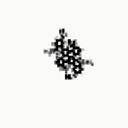 NC(=O)c1ccc(N)cc1-c1ccc(-c2ccc(-c3cc(N)ccc3C(N)=O)cc2-c2ccccc2C(F)(F)F)c(-c2ccccc2C(F)(F)F)c1